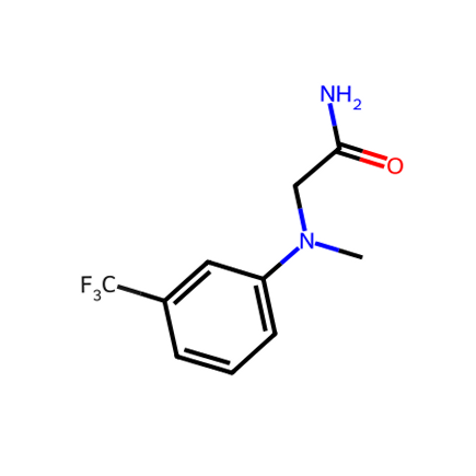 CN(CC(N)=O)c1cccc(C(F)(F)F)c1